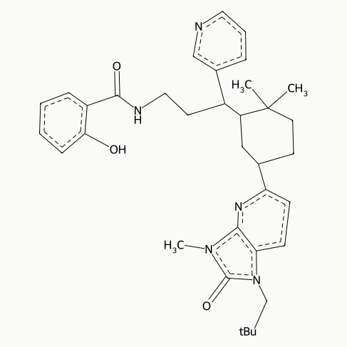 Cn1c(=O)n(CC(C)(C)C)c2ccc(C3CCC(C)(C)C(C(CCNC(=O)c4ccccc4O)c4cccnc4)C3)nc21